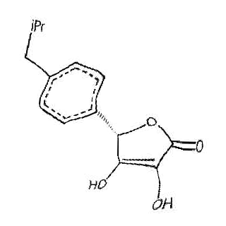 CC(C)Cc1ccc([C@@H]2OC(=O)C(O)=C2O)cc1